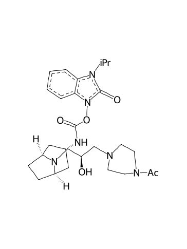 CC(=O)N1CCN(C[C@@H](O)CN2[C@@H]3CC[C@H]2C[C@H](NC(=O)On2c(=O)n(C(C)C)c4ccccc42)C3)CC1